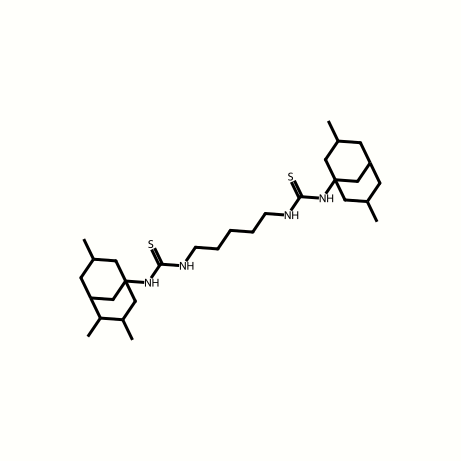 CC1CC2CC(C)CC(NC(=S)NCCCCCNC(=S)NC34CC(C)CC(C3)C(C)C(C)C4)(C1)C2